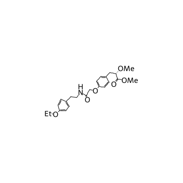 CCOc1ccc(CCNC(=O)COc2ccc(C[C@H](OC)C(=O)OC)cc2)cc1